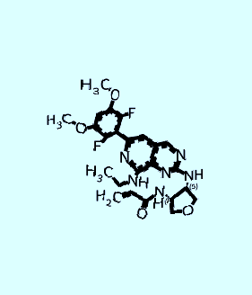 C=CC(=O)N[C@H]1COC[C@H]1Nc1ncc2cc(-c3c(F)c(OC)cc(OC)c3F)nc(NCC)c2n1